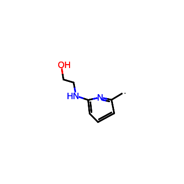 [CH2]c1cccc(NCCO)n1